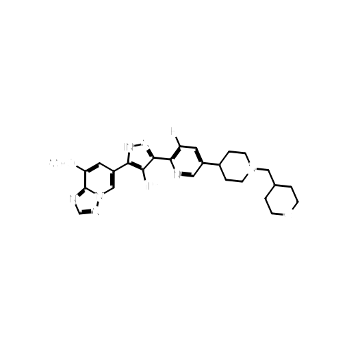 COc1cc(-c2[nH]nc(-c3ncc(C4CCN(CC5CCOCC5)CC4)cc3F)c2C(C)C)cn2ncnc12